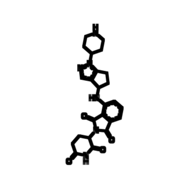 O=C1CCC(N2C(=O)c3cccc(NC4CCc5c4cnn5C4CCNCC4)c3C2=O)C(=O)N1